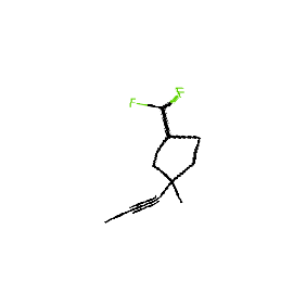 CC#CC1(C)CCC(C(F)F)C1